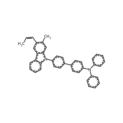 C/C=C\c1cc2c3ccccc3n(-c3ccc(-c4ccc(N(c5ccccc5)c5ccccc5)cc4)cc3)c2cc1C